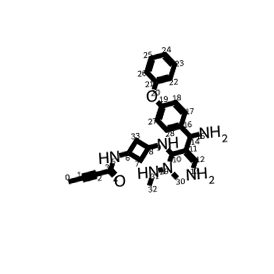 CC#CC(=O)NC1CC(NC(/C(=C\N)C(N)c2ccc(Oc3ccccc3)cc2)N(C)NC)C1